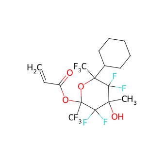 C=CC(=O)OC1(C(F)(F)F)OC(C2CCCCC2)(C(F)(F)F)C(F)(F)C(C)(O)C1(F)F